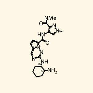 CNC(=O)c1nn(C)cc1NC(=O)c1ccc2cnc(N[C@@H]3CCCC[C@@H]3N)nn12